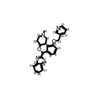 CN1CCC(OC(c2cccc(OCc3cccnc3)c2)c2nc3ccccc3s2)CC1